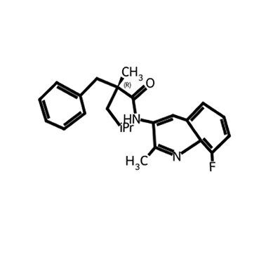 Cc1nc2c(F)cccc2cc1NC(=O)[C@@](C)(Cc1ccccc1)CC(C)C